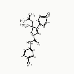 C=C(C)CC1(C(=O)OCC)CN(C(=O)Nc2ccc(C(F)(F)F)cc2)N=C1c1ccc(Cl)cc1